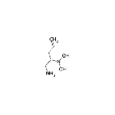 C=CCC(CN)N(O)O